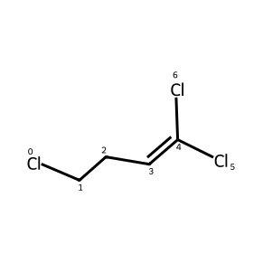 ClCCC=C(Cl)Cl